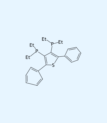 CCP(CC)c1c(-c2ccccc2)sc(-c2ccccc2)c1P(CC)CC